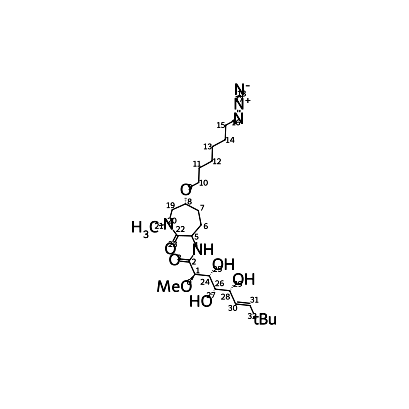 CO[C@@H](C(=O)NC1CC[C@@H](OCCCCCCN=[N+]=[N-])CN(C)C1=O)[C@H](O)[C@@H](O)[C@H](O)/C=C/C(C)(C)C